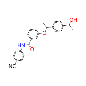 CC(O)c1ccc(C(C)Oc2cccc(C(=O)Nc3ccc(C#N)cc3)c2)cc1